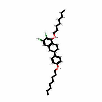 CCCCCCCCOc1ccc(C2CCc3c(cc(F)c(F)c3OCCCCCCCC)C2)cc1